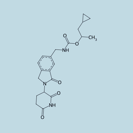 CC(CC1CC1)OC(=O)NCc1ccc2c(c1)C(=O)N(C1CCC(=O)NC1=O)C2